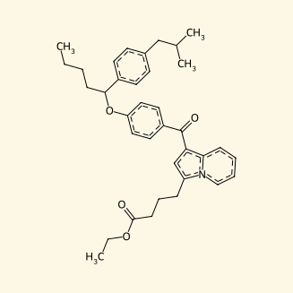 CCCCC(Oc1ccc(C(=O)c2cc(CCCC(=O)OCC)n3ccccc23)cc1)c1ccc(CC(C)C)cc1